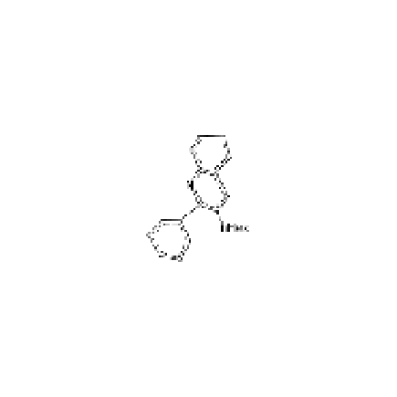 CCCCCCc1cc2ccccc2nc1-c1ccccc1